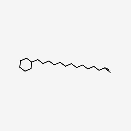 O=NCCCCCCCCCCCCC1CCCCC1